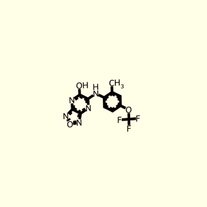 Cc1cc(OC(F)(F)F)ccc1Nc1nc2nonc2nc1O